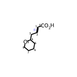 O=C(O)/C=C/CC1CCCCO1